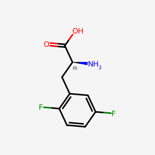 N[C@@H](Cc1cc(F)ccc1F)C(=O)O